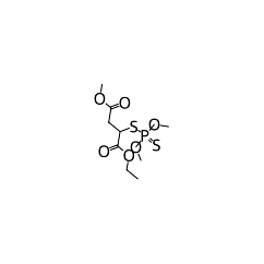 CCOC(=O)C(CC(=O)OC)SP(=S)(OC)OC